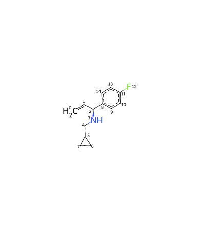 C=C[C@H](NCC1CC1)c1ccc(F)cc1